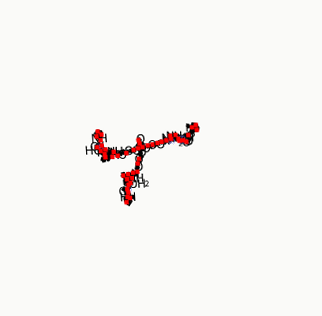 C/C=C1/OOCC(CSc2ccccc2NC)=C/C1=C/CN(C/C(N)=C/N(N)CCOCCOCCOc1cc(C=O)cc(OCCOCCOCCN(N)CC(CN(c2ccc(/C=C(\C=O)CSc3ccccc3NC)c(O)c2)C(C)C)N=N)c1OCCOCCOCCN(C)CC(N)CN(c1ccc(/C=C(\C=O)CSc2ccccc2NC)c(O)c1)C(C)C)C(C)C